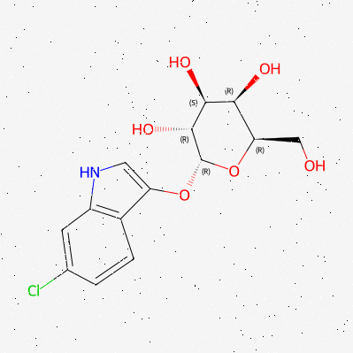 OC[C@H]1O[C@H](Oc2c[nH]c3cc(Cl)ccc23)[C@H](O)[C@@H](O)[C@H]1O